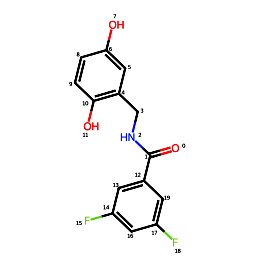 O=C(NCc1cc(O)ccc1O)c1cc(F)cc(F)c1